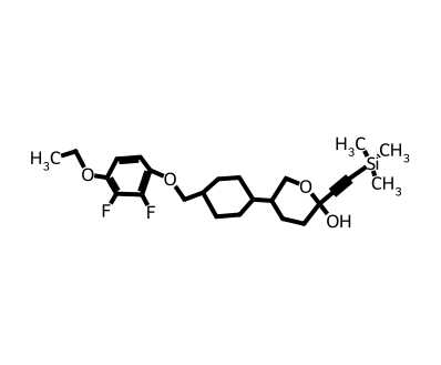 CCOc1ccc(OCC2CCC(C3CCC(O)(C#C[Si](C)(C)C)OC3)CC2)c(F)c1F